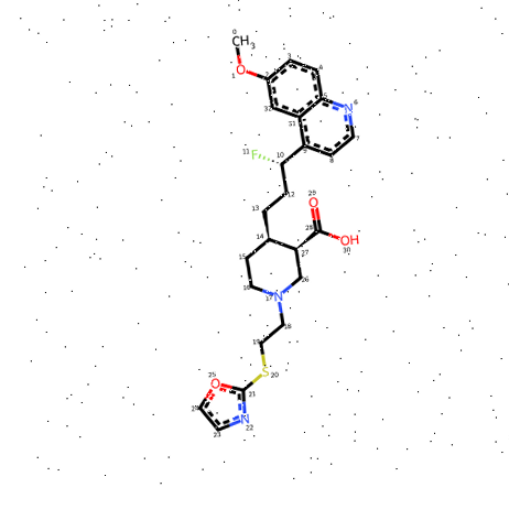 COc1ccc2nccc([C@@H](F)CC[C@@H]3CCN(CCSc4ncco4)C[C@@H]3C(=O)O)c2c1